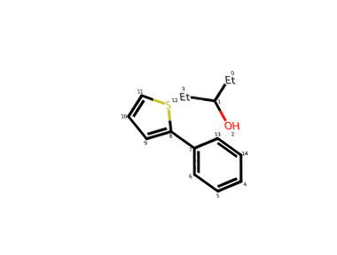 CCC(O)CC.c1ccc(-c2cccs2)cc1